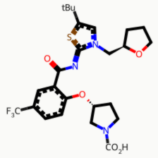 CC(C)(C)c1cn(C[C@H]2CCCO2)/c(=N/C(=O)c2cc(C(F)(F)F)ccc2O[C@@H]2CCN(C(=O)O)C2)s1